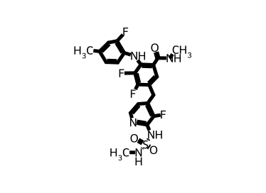 CNC(=O)c1cc(Cc2ccnc(NS(=O)(=O)NC)c2F)c(F)c(F)c1Nc1ccc(C)cc1F